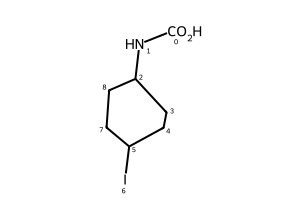 O=C(O)NC1CCC(I)CC1